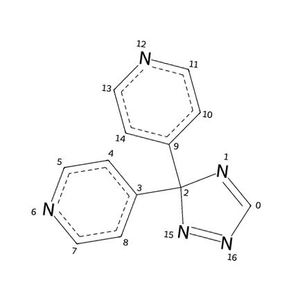 C1=NC(c2ccncc2)(c2ccncc2)N=N1